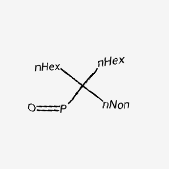 CCCCCCCCCC(CCCCCC)(CCCCCC)P=O